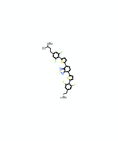 CCCCC(CC)CCc1cc(F)c(-c2ccc(-c3ccc(-c4ccc(-c5c(F)cc(CC[C@@H](C)CC)cc5F)s4)c4nsnc34)s2)c(F)c1